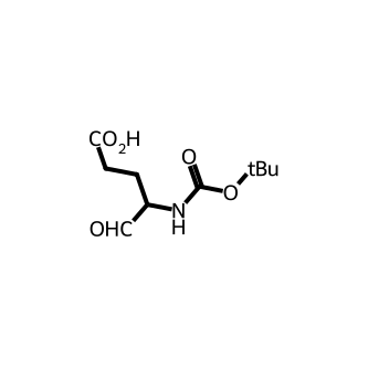 CC(C)(C)OC(=O)NC(C=O)CCC(=O)O